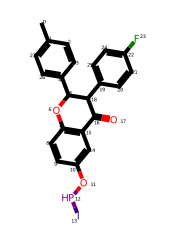 Cc1ccc(C2Oc3ccc(OPI)cc3C(=O)C2c2ccc(F)cc2)cc1